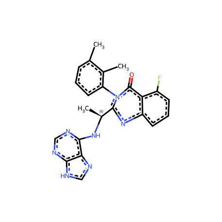 Cc1cccc(-n2c([C@H](C)Nc3ncnc4[nH]cnc34)nc3cccc(F)c3c2=O)c1C